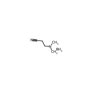 B.CN(C)CCC#N